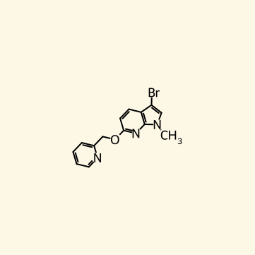 Cn1cc(Br)c2ccc(OCc3ccccn3)nc21